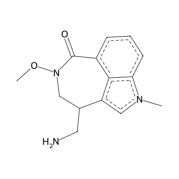 CON1CC(CN)c2cn(C)c3cccc(c23)C1=O